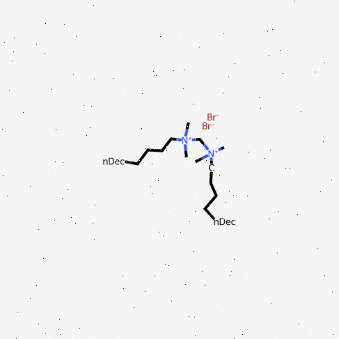 CCCCCCCCCCCCCC[N+](C)(C)C[N+](C)(C)CCCCCCCCCCCCCC.[Br-].[Br-]